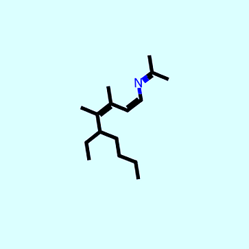 CCCCC(CC)/C(C)=C(C)\C=C/N=C(C)C